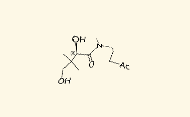 CC(=O)CCN(C)C(=O)[C@H](O)C(C)(C)CO